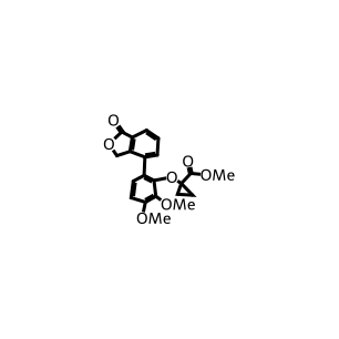 COC(=O)C1(Oc2c(-c3cccc4c3COC4=O)ccc(OC)c2OC)CC1